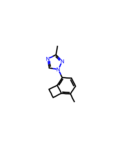 Cc1ncn(-c2ccc(C)c3c2CC3)n1